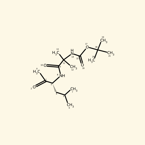 CC(=O)[C@@H](CC(C)C)NC(=O)C(C)(C)NC(=O)OC(C)(C)C